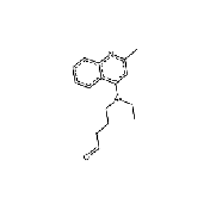 CC[As](CCCC=O)c1cc(C)nc2ccccc12